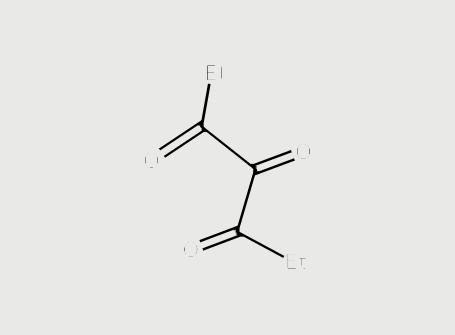 CCC(=O)C(=O)C(=O)CC